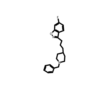 Fc1ccc2c(CCCC3CCN(Cc4ccccc4)CC3)noc2c1